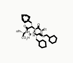 CCC[C@H](NC(=O)[C@H](Cc1ccccc1)N(C(=O)NCC)[NH+]([O-])[C@H](C=NCC1CCCCC1)CC1CCCCC1)C(=O)O